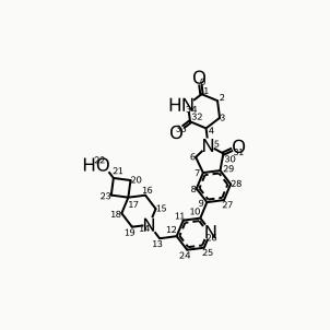 O=C1CCC(N2Cc3cc(-c4cc(CN5CCC6(CC5)CC(O)C6)ccn4)ccc3C2=O)C(=O)N1